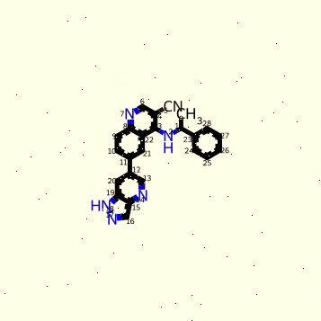 CC(Nc1c(C#N)cnc2ccc(-c3cnc4cn[nH]c4c3)cc12)c1ccccc1